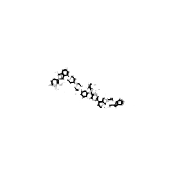 C=CC(=O)Nc1cc(Nc2nc(-c3ccnc(N4CCn5c(cc6c5CC(C)(C)C6)C4=O)c3CO)cn(C)c2=O)ccc1N1CCN(C2CCN(c3cccc4c3CN(C3CCC(=O)N(C)C3=O)C4=O)[C@@H](C)C2)C[C@@H]1C